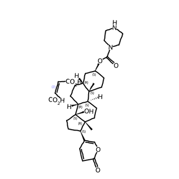 C[C@]12CC[C@H](OC(=O)N3CCNCC3)C[C@H]1CC[C@@H]1[C@@H]2CC[C@]2(C)[C@@H](c3ccc(=O)oc3)CC[C@]12O.O=C(O)/C=C\C(=O)O